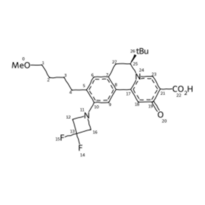 COCCCCc1cc2c(cc1N1CC(F)(F)C1)-c1cc(=O)c(C(=O)O)cn1[C@H](C(C)(C)C)C2